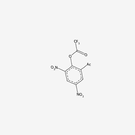 CC(=O)c1cc([N+](=O)[O-])cc([N+](=O)[O-])c1OC(=O)C(F)(F)F